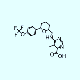 Cc1c(NCC2CCC[C@H](c3ccc(OC(F)(F)F)cc3)O2)ncnc1C(=O)O